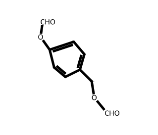 O=CO[CH]c1ccc(OC=O)cc1